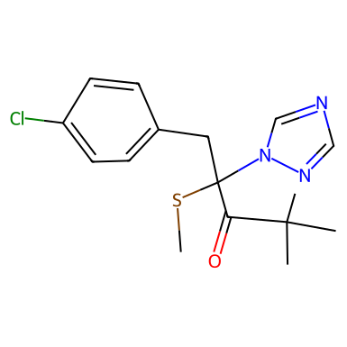 CSC(Cc1ccc(Cl)cc1)(C(=O)C(C)(C)C)n1cncn1